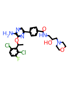 CC(Oc1nc(-c2ccc(C(=O)NC[C@@H](O)CN3CCOCC3)cc2)cnc1N)c1c(Cl)ccc(F)c1Cl